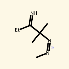 CCC(=N)C(C)(C)/N=N\C